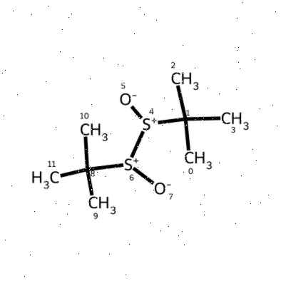 CC(C)(C)[S+]([O-])[S+]([O-])C(C)(C)C